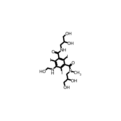 CN(CC(O)CO)C(=O)c1c(I)c(NCO)c(I)c(C(=O)NCC(O)CO)c1I